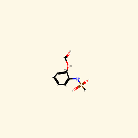 CS(=O)(=O)Nc1ccccc1OC=O